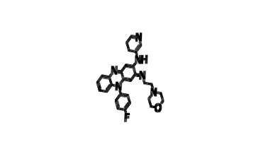 Fc1ccc(-n2c3c/c(=N\CCN4CCOCC4)c(NC4=CN=CCC4)cc-3nc3ccccc32)cc1